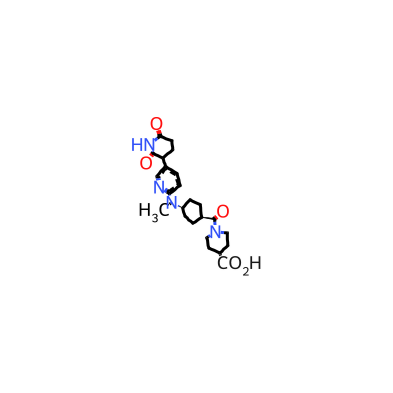 CN(c1ccc(C2CCC(=O)NC2=O)cn1)[C@H]1CC[C@H](C(=O)N2CCC(C(=O)O)CC2)CC1